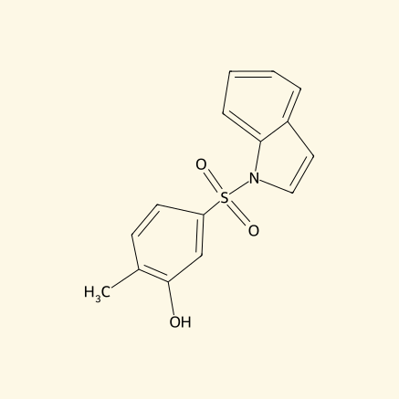 Cc1ccc(S(=O)(=O)n2ccc3ccccc32)cc1O